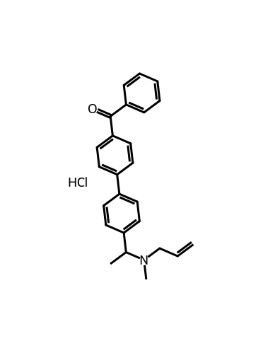 C=CCN(C)C(C)c1ccc(-c2ccc(C(=O)c3ccccc3)cc2)cc1.Cl